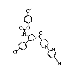 COc1ccc(OC(=O)N(C)[C@@H]2CN(C(=O)C3CCN(c4ccc(C#N)cn4)CC3)C[C@H]2c2ccc(Cl)cc2)cc1